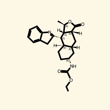 CCOC(=O)N[C@@H]1CC[C@@H]2[C@@H](C1)C[C@H]1C(=O)O[C@H](C)[C@H]1[C@H]2C1=Nc2ccccc2C1